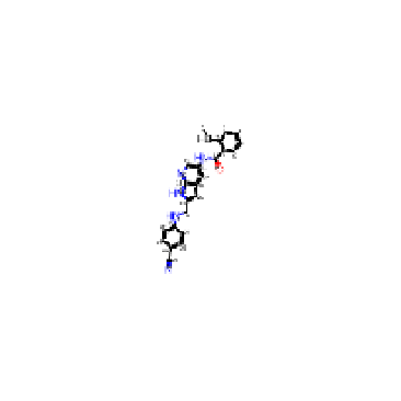 CBc1ccccc1C(=O)Nc1cnc2[nH]c(CNc3ccc(C#N)cc3)cc2c1